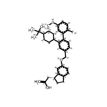 C=C(O)C[C@H]1CCc2ccc(OCc3ccc(-c4cc(OC)ccc4F)c(C4CCC(C(C)(C)C)CC4)c3)cc21